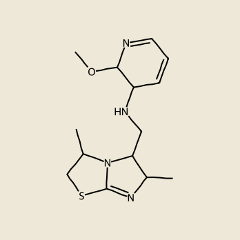 COC1N=CC=CC1NCC1C(C)N=C2SCC(C)N21